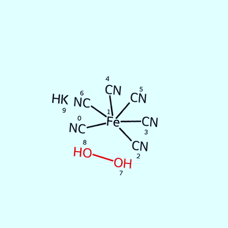 N#[C][Fe]([C]#N)([C]#N)([C]#N)([C]#N)[C]#N.OO.[KH]